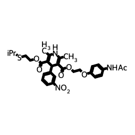 CC(=O)Nc1ccc(OCCOC(=O)C2=C(C)NC(C)=C(C(=O)OCCSC(C)C)C2c2cccc([N+](=O)[O-])c2)cc1